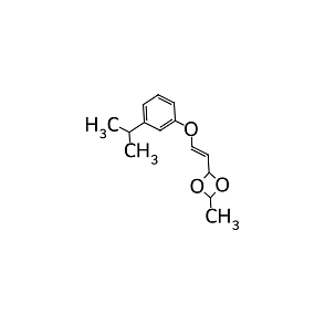 CC1OC(/C=C/Oc2cccc(C(C)C)c2)O1